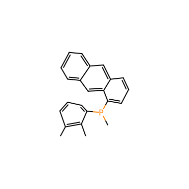 Cc1cccc(P(C)c2cccc3cc4ccccc4cc23)c1C